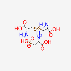 NC(CSSC[C@H](N)C(=O)O)C(=O)O.N[C@@H](CS(=O)(=O)O)C(=O)O